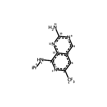 CC(C)Nc1nc(C(F)(F)F)cc2cnc(N)nc12